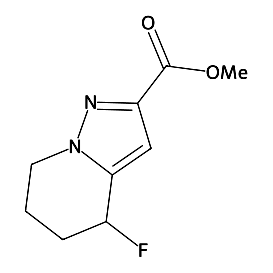 COC(=O)c1cc2n(n1)CCCC2F